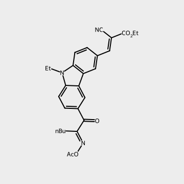 CCCC/C(=N\OC(C)=O)C(=O)c1ccc2c(c1)c1cc(/C=C(\C#N)C(=O)OCC)ccc1n2CC